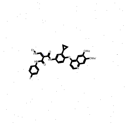 CCN/C=C(\C(=O)Nc1ccc(F)cc1)C(=O)Nc1ccc(Oc2ccnc3cc(OC)c(OC)cc23)c(C2CC2)c1